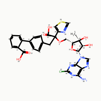 C[C@@]1(O)[C@@H](COC(Cc2ccc(-c3ccccc3C(=O)O)cc2)(C(=O)O)c2cscn2)O[C@@H](n2cnc3c(N)nc(Cl)nc32)[C@@H]1O